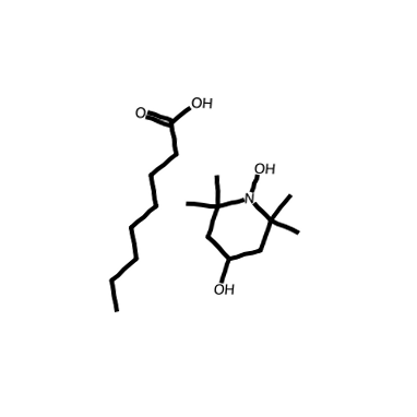 CC1(C)CC(O)CC(C)(C)N1O.CCCCCCCC(=O)O